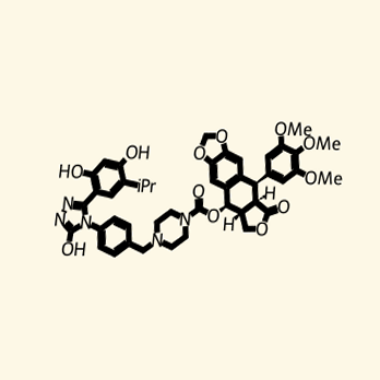 COc1cc([C@@H]2c3cc4c(cc3[C@H](OC(=O)N3CCN(Cc5ccc(-n6c(O)nnc6-c6cc(C(C)C)c(O)cc6O)cc5)CC3)[C@H]3COC(=O)[C@H]23)OCO4)cc(OC)c1OC